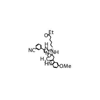 CCC(=O)CCCCC[C@H](NC(=O)Cc1c(C)[nH]c2ccc(OC)cc12)C1=[N+]C=C(c2cccc(C#N)c2)N1